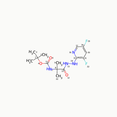 CC(C)(C)OC(=O)NC(C)(C)C(=O)NNc1ncc(F)cc1F